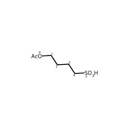 CC(=O)OCCCCS(=O)(=O)O